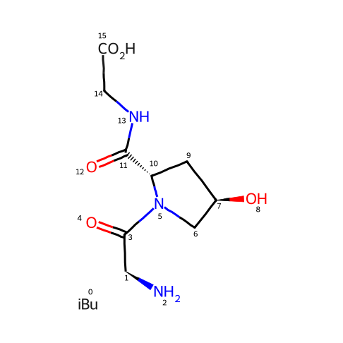 CC[C@H](C)[C@H](N)C(=O)N1C[C@H](O)C[C@H]1C(=O)NCC(=O)O